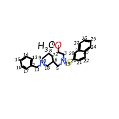 COCCN(CC1CCCN(Cc2ccccc2)C1)Sc1ccc2ccccc2c1